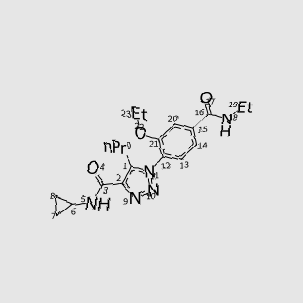 CCCc1c(C(=O)NC2CC2)nnn1-c1ccc(C(=O)NCC)cc1OCC